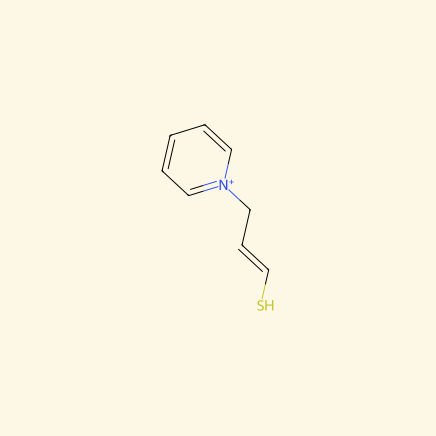 SC=CC[n+]1ccccc1